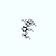 Cc1c(OC(N)=O)cncc1B1OC(C)(C)C(C)(C)O1